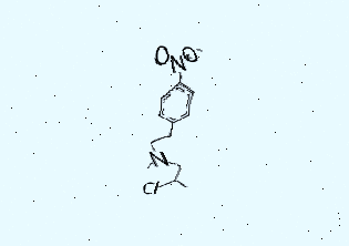 CC(Cl)CN(C)CCc1ccc([N+](=O)[O-])cc1